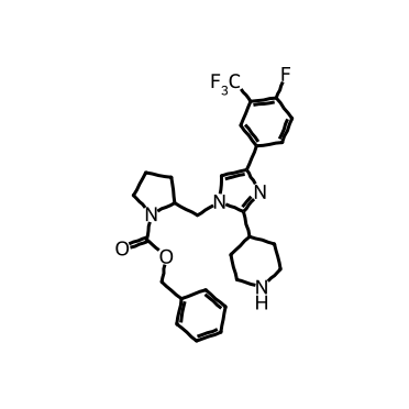 O=C(OCc1ccccc1)N1CCCC1Cn1cc(-c2ccc(F)c(C(F)(F)F)c2)nc1C1CCNCC1